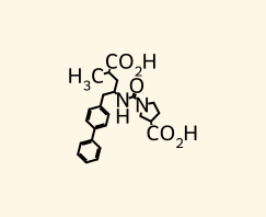 C[C@H](CC(Cc1ccc(-c2ccccc2)cc1)NC(=O)N1CC[C@@H](C(=O)O)C1)C(=O)O